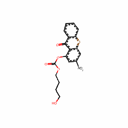 O=C(OCCCCO)Oc1cc([N+](=O)[O-])cc2sc3ccccc3c(=O)c12